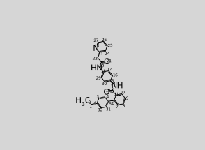 CCc1ccc(-c2ccccc2C(=O)Nc2ccc(NC(=O)Cc3ccccn3)cc2)cc1